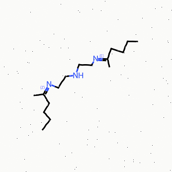 CCCC/C(C)=N\CCNCC/N=C(\C)CCCC